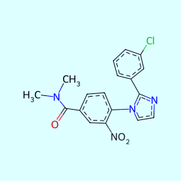 CN(C)C(=O)c1ccc(-n2ccnc2-c2cccc(Cl)c2)c([N+](=O)[O-])c1